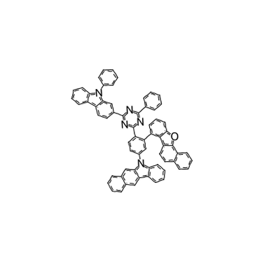 c1ccc(-c2nc(-c3ccc4c5ccccc5n(-c5ccccc5)c4c3)nc(-c3ccc(-n4c5ccccc5c5cc6ccccc6cc54)cc3-c3cccc4oc5c6ccccc6ccc5c34)n2)cc1